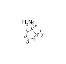 CCC1CC(C)CCC1CN